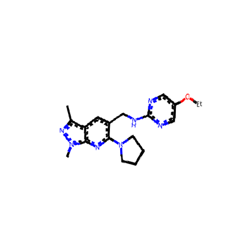 CCOc1cnc(NCc2cc3c(C)nn(C)c3nc2N2CCCC2)nc1